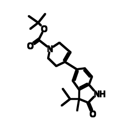 CC(C)C1(C)C(=O)Nc2ccc(C3=CCN(C(=O)OC(C)(C)C)CC3)cc21